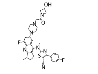 CC1CCc2c1nc1c(F)cc(N3CCN(CC(=O)N4CC(O)C4)CC3)cc1c2N(C)c1nc(-c2ccc(F)cc2)c(C#N)s1